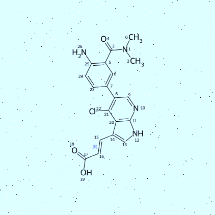 CN(C)C(=O)c1cc(-c2cnc3[nH]cc(/C=C/C(=O)O)c3c2Cl)ccc1N